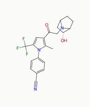 Cc1c(C(=O)CN2C3CCC2[C@H](O)C3)cc(C(F)(F)F)n1-c1ccc(C#N)cc1